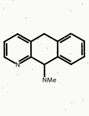 CNC1c2ccccc2Cc2cccnc21